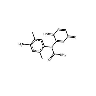 Cc1cc(N(C(N)=O)C2=CC(=O)C=CC2=N)c(C)cc1N